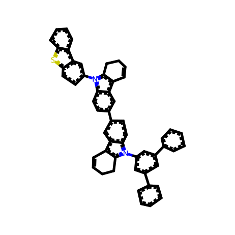 C1=Cc2c(n(-c3cc(-c4ccccc4)cc(-c4ccccc4)c3)c3ccc(-c4ccc5c(c4)c4c(n5-c5ccc6sc7ccccc7c6c5)CCC=C4)cc23)CC1